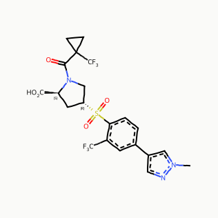 Cn1cc(-c2ccc(S(=O)(=O)[C@@H]3C[C@@H](C(=O)O)N(C(=O)C4(C(F)(F)F)CC4)C3)c(C(F)(F)F)c2)cn1